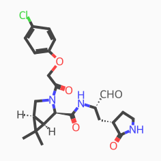 CC1(C)[C@@H]2[C@H](C(=O)N[C@H](C=O)C[C@@H]3CCNC3=O)N(C(=O)COc3ccc(Cl)cc3)C[C@@H]21